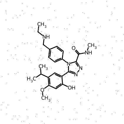 CCNCc1ccc(-n2c(C(=O)NC)nnc2-c2cc(C(C)C)c(OC)cc2O)cc1